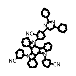 N#Cc1cccc(-n2c3ccccc3c3c2c2c4ccccc4n(-c4ccc(-c5cc(-c6ccccc6)nc(-c6ccccc6)n5)cc4C#N)c2c2c4ccccc4n(-c4cccc(C#N)c4)c32)c1